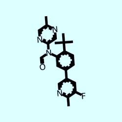 Cc1cnc(N(C=O)c2cc(-c3cnc(C)c(F)c3)ccc2C(C)(C)C)cn1